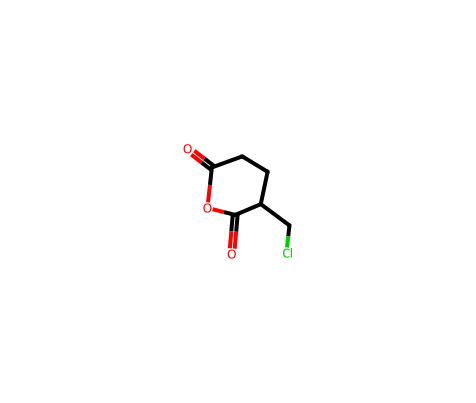 O=C1CCC(CCl)C(=O)O1